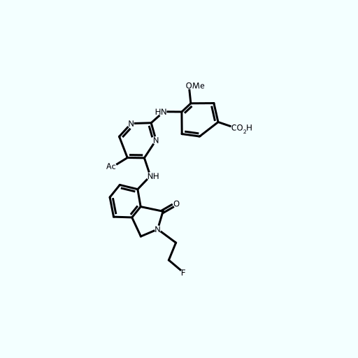 COc1cc(C(=O)O)ccc1Nc1ncc(C(C)=O)c(Nc2cccc3c2C(=O)N(CCF)C3)n1